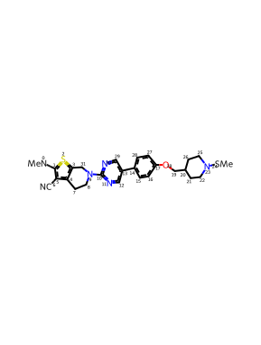 CNc1sc2c(c1C#N)CCN(c1ncc(-c3ccc(OCC4CCN(SC)CC4)cc3)cn1)C2